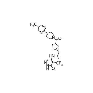 CC(CN1CCC(C(=O)N2CCN(c3ncc(C(F)(F)F)cn3)CC2)C1)Nc1cn[nH]c(=O)c1C(F)(F)F